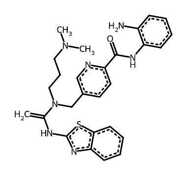 C=C(Nc1nc2ccccc2s1)N(CCCN(C)C)Cc1ccc(C(=O)Nc2ccccc2N)nc1